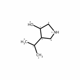 CC(C)C1CNCC1O